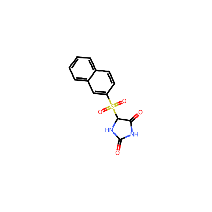 O=C1NC(=O)C(S(=O)(=O)c2ccc3ccccc3c2)N1